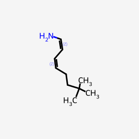 CC(C)(C)CC/C=C\C=C/N